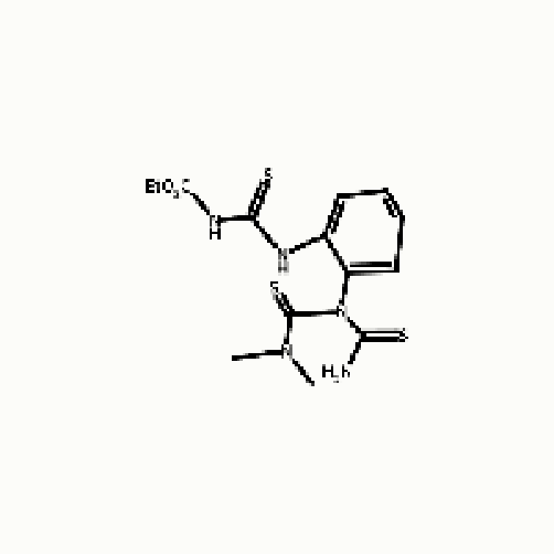 CCOC(=O)NC(=S)Nc1ccccc1N(C(N)=S)C(=S)N(C)C